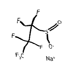 O=S([O-])C(F)(F)C(F)(F)C(F)(F)F.[Na+]